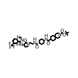 CC(C)(C)OC(=O)N1CCC2(CCC(C(=O)N[C@H]3CC[C@@H](C(=O)NCCN4CC[C@H](Nc5ncnc6ccc(C(F)(F)F)cc56)C4=O)CC3)CC2)CC1